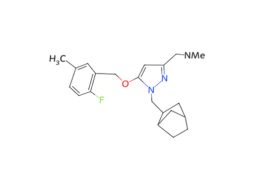 CNCc1cc(OCc2cc(C)ccc2F)n(CC2CC3CCC2C3)n1